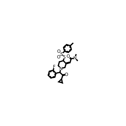 Cc1ccc(S(=O)(=O)SC2CCN(C(C(=O)C3CC3)c3ccccc3F)C/C2=C/C(=O)N(C)C)cc1